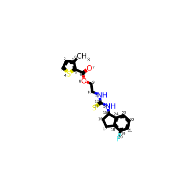 Cc1ccsc1C(=O)OCCNC(=S)NC1CCc2c(F)cccc21